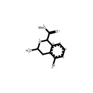 COC(=O)C1OC(C)Cc2c(Br)cccc21